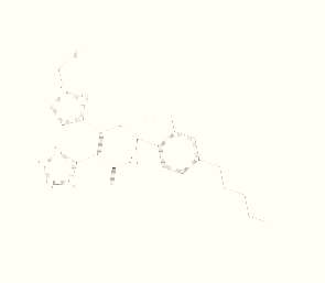 CC(C)Cn1ccc(C2=C(c3nnn[nH]3)C(=O)N[C@@](c3ccc(CCCCC(F)(F)F)cc3F)(C(F)(F)F)C2)n1